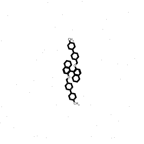 CC1CCC(C2CCC(COc3ccc4c(c3-c3c(OCC5CCC(C6CCC(C)CC6)CC5)ccc5c3CCCC5)CCCC4)CC2)CC1